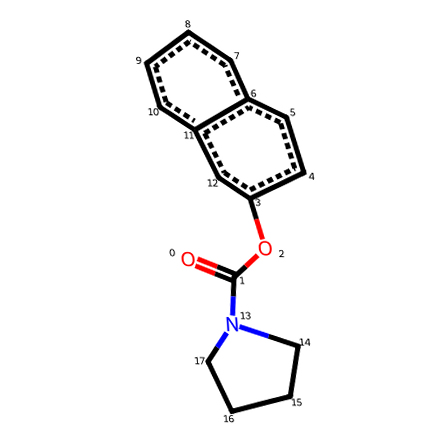 O=C(Oc1ccc2ccccc2c1)N1CCCC1